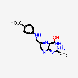 C=C(N)/N=C1/N=CC(CNc2ccc(C(=O)O)cc2)=N/C1=C(/N)O